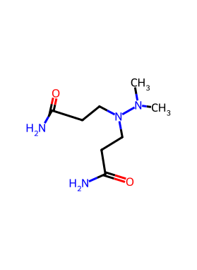 CN(C)N(CCC(N)=O)CCC(N)=O